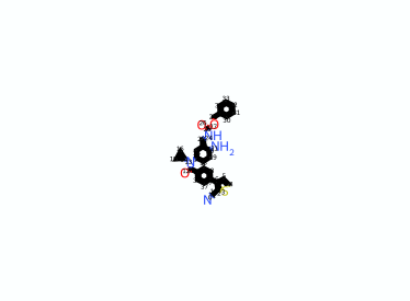 N#Cc1sccc1-c1ccc(C(=O)N(C2CC2)C2CCC(N)/C(=C\NC(=O)OCc3ccccc3)C2)cc1